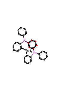 c1ccc(P(c2ccccc2)c2cccc[c]2[GeH2][c]2ccccc2P(c2ccccc2)c2ccccc2)cc1